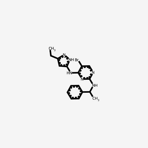 CCc1cc(Nc2nc(NC(C)c3ccccc3)ncc2Br)[nH]n1